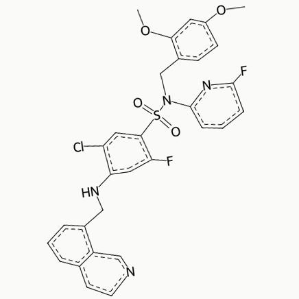 COc1ccc(CN(c2cccc(F)n2)S(=O)(=O)c2cc(Cl)c(NCc3cccc4ccncc34)cc2F)c(OC)c1